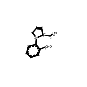 O=Cc1ccccc1N1CC=C[C@H]1CO